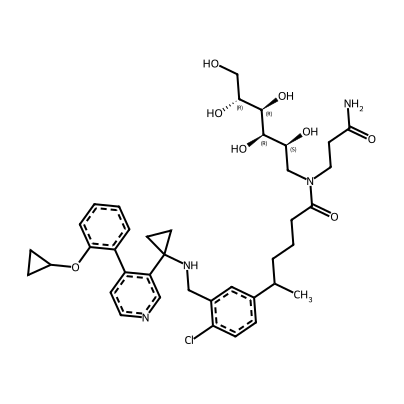 CC(CCCC(=O)N(CCC(N)=O)C[C@H](O)[C@@H](O)[C@H](O)[C@H](O)CO)c1ccc(Cl)c(CNC2(c3cnccc3-c3ccccc3OC3CC3)CC2)c1